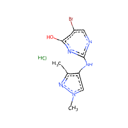 Cc1nn(C)cc1Nc1ncc(Br)c(O)n1.Cl